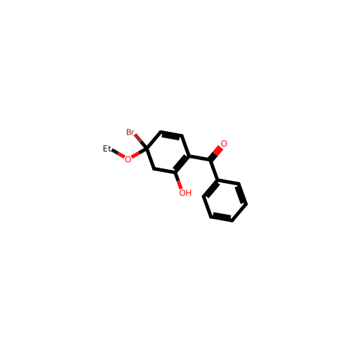 CCOC1(Br)C=CC(C(=O)c2ccccc2)=C(O)C1